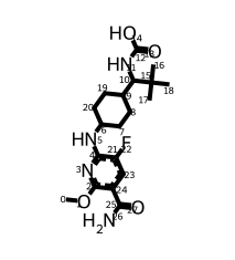 COc1nc(NC2CCC(C(NC(=O)O)C(C)(C)C)CC2)c(F)cc1C(N)=O